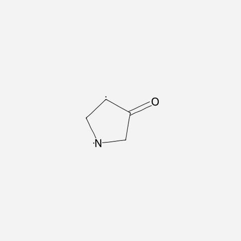 O=C1[CH]C[N]C1